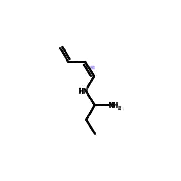 C=C/C=C\NC(N)CC